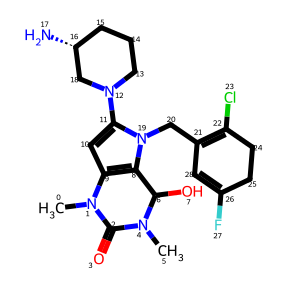 CN1C(=O)N(C)C(O)c2c1cc(N1CCC[C@@H](N)C1)n2CC1=C(Cl)CCC(F)=C1